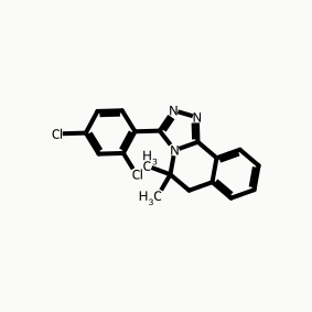 CC1(C)Cc2ccccc2-c2nnc(-c3ccc(Cl)cc3Cl)n21